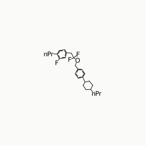 CCCc1ccc(CC(F)(F)OCc2ccc(C3CCC(CCC)CC3)cc2)cc1F